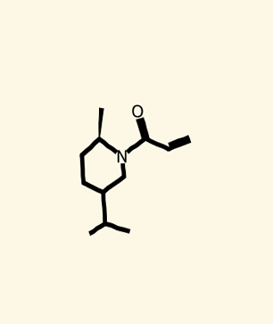 C=CC(=O)N1CC(C(C)C)CC[C@H]1C